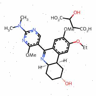 CCOc1cc2c(cc1OC)C(c1cnc(N(C)C)nc1OC)=N[C@@H]1CC[C@@H](O)C[C@H]21.O=C(O)CC(O)C(=O)O